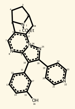 CCOC(=O)N1C2CCC1c1cnc3c(-c4cccc(O)c4)c(-c4ccncc4)nn3c1C2